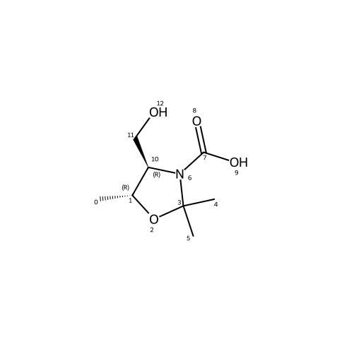 C[C@H]1OC(C)(C)N(C(=O)O)[C@@H]1CO